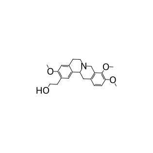 COc1cc2c(cc1CCO)C1Cc3ccc(OC)c(OC)c3CN1CC2